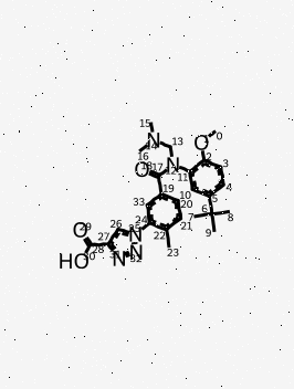 COc1ccc(C(C)(C)C)cc1N(CN(C)C)C(=O)c1ccc(C)c(-n2cc(C(=O)O)nn2)c1